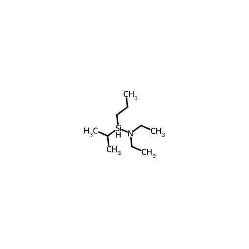 CCC[SiH](C(C)C)N(CC)CC